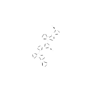 N#Cc1cc(-c2cccc(-n3c4ccccc4c4c5sc6ccccc6c5ccc43)c2)cc(-n2c3ccccc3c3c4oc5c(C#N)cccc5c4ccc32)c1